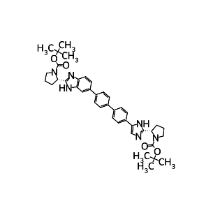 CC(C)(C)OC(=O)N1CCC[C@H]1c1ncc(-c2ccc(-c3ccc(-c4ccc5nc([C@@H]6CCCN6C(=O)OC(C)(C)C)[nH]c5c4)cc3)cc2)[nH]1